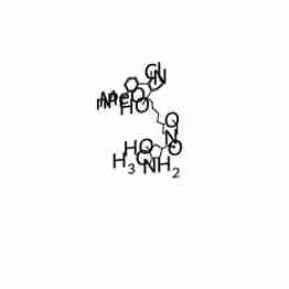 CCCc1cccc(-c2c(C(O)(CCCCC3CN(C(=O)C4CC(N)C(C)(O)C4)CCO3)OC)ccnc2Cl)c1